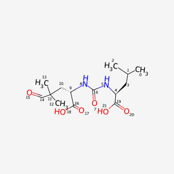 CC(C)C[C@H](NC(=O)N[C@@H](CC(C)(C)C=O)C(=O)O)C(=O)O